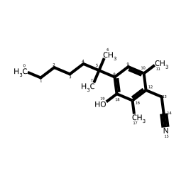 CCCCCC(C)(C)c1cc(C)c(CC#N)c(C)c1O